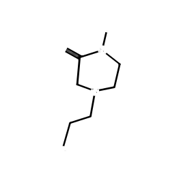 CCN1CCN(CCO)CC1=O